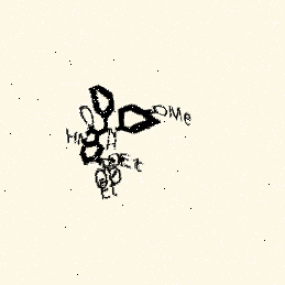 CCOP(=O)(OCC)c1ccc2c(c1)C(=C(Nc1ccc(OC)cc1)c1ccccc1)C(=O)N2